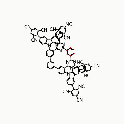 [C-]#[N+]c1cc(C#N)c(-c2ccc3c(c2)c2cc(-c4c(C#N)cc([N+]#[C-])cc4[N+]#[C-])ccc2n3-c2ccc(-c3cccc(-c4ccc(-n5c6ccc(-c7c(C#N)cc(C#N)cc7[N+]#[C-])cc6c6cc(-c7c([N+]#[C-])cc(C#N)cc7[N+]#[C-])ccc65)c(-c5nc(-c6ccccc6)nc(-c6ccccc6)n5)c4)c3)cc2-c2nc(-c3ccccc3)nc(-c3ccccc3)n2)c(C#N)c1